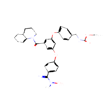 CC(=O)N(O)C(=N)c1ccc(Oc2cc(Oc3ccc(CNC(=O)OC(C)(C)C)cc3)cc(C(=O)N3CCCC4CCCC=C43)c2)cc1